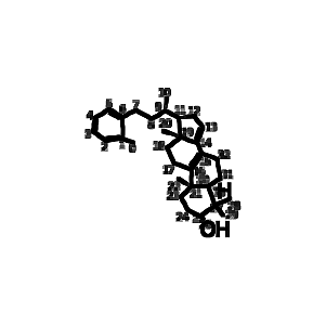 Cc1ccccc1CC[C@@H](C)[C@H]1CC=C2C3=C(CC[C@@]21C)[C@@]1(C)CC[C@H](O)C(C)(C)[C@@H]1CC3